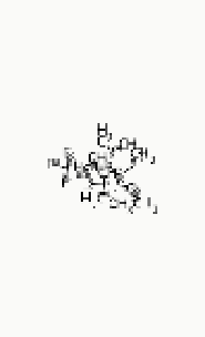 C=C[C@H]([C@H](N)C(=C)C)[C@@](C)(OC)C(C)(C)/C=C(\C)C(F)(F)F